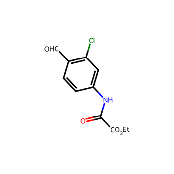 CCOC(=O)C(=O)Nc1ccc(C=O)c(Cl)c1